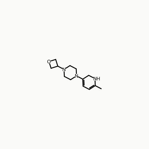 CC1=CC=C(N2CCN(C3COC3)CC2)CN1